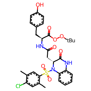 Cc1cc(S(=O)(=O)N2c3ccccc3NC(=O)[C@H]2CC(=O)N[C@@H](Cc2ccc(O)cc2)C(=O)OOC(C)(C)C)c(C)cc1Cl